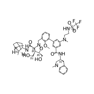 COc1c(CN2O[C@@H](CO)[C@@H]([C@H](C)O)[C@H]2C(=O)NC2CC3C[C@@H]([C@@H]2C)C3(C)C)cccc1-c1cc(C(=O)N[C@@H](Cc2ccccc2)CN(C)C)cc(N(C)CCNS(=O)(=O)C(F)(F)F)c1